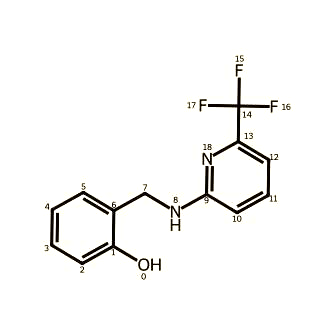 Oc1ccccc1CNc1cccc(C(F)(F)F)n1